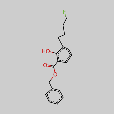 O=C(OCc1ccccc1)c1cccc(CCCCF)c1O